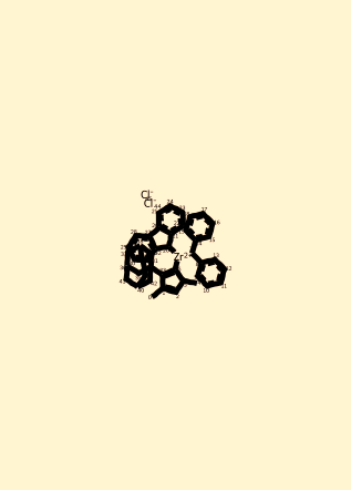 CC1=CC(C)[C]([Zr+2](=[C](c2ccccc2)c2ccccc2)[CH]2c3ccccc3-c3ccccc32)=C1C12CC3CC(CC(C3)C1)C2.[Cl-].[Cl-]